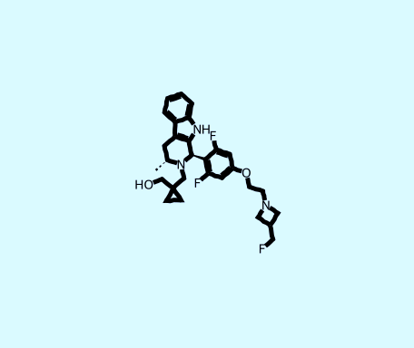 C[C@@H]1Cc2c([nH]c3ccccc23)[C@@H](c2c(F)cc(OCCN3CC(CF)C3)cc2F)N1CC1(CO)CC1